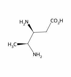 C[C@H](N)[C@@H](N)CC(=O)O